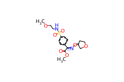 COCCNS(=O)(=O)c1ccc(/C(=N\O[C@@H]2CCOC2)C(=O)OC)cc1